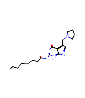 CCCCCCCC(=O)NC1=NC(=O)C2=C(CN3CCCC3)C=NC2=N1